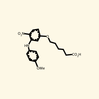 COc1ccc(Nc2cc(OCCCCCC(=O)O)ccc2[N+](=O)[O-])cc1